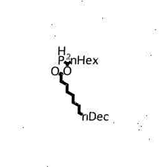 CCCCCCCCCCCCCCCCCC(=O)OC(P)CCCCCC